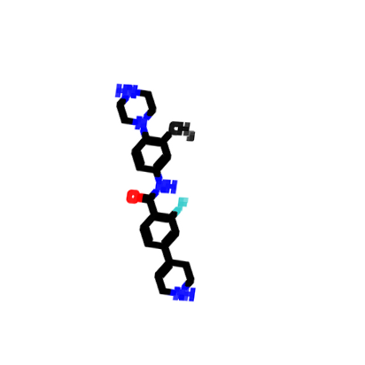 Cc1cc(NC(=O)c2ccc(C3=CCNCC3)cc2F)ccc1N1CCNCC1